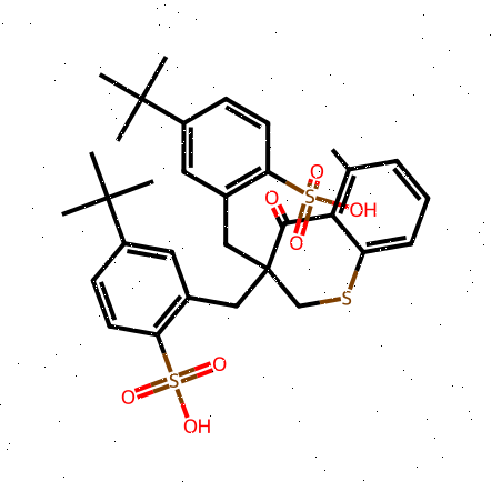 Cc1cccc2c1C(=O)C(Cc1cc(C(C)(C)C)ccc1S(=O)(=O)O)(Cc1cc(C(C)(C)C)ccc1S(=O)(=O)O)CS2